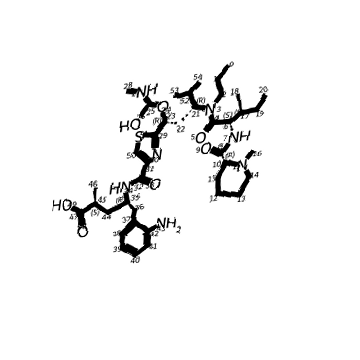 CCCN(C(=O)[C@@H](NC(=O)[C@H]1CCCCN1C)[C@@H](C)CC)[C@H](C[C@@H](OC(O)NC)c1nc(C(=O)N[C@@H](Cc2ccccc2N)C[C@H](C)C(=O)O)cs1)C(C)C